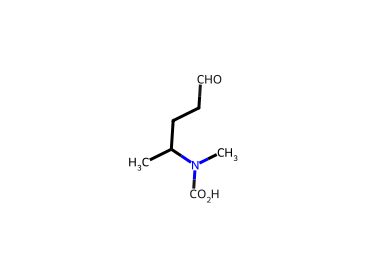 CC(CCC=O)N(C)C(=O)O